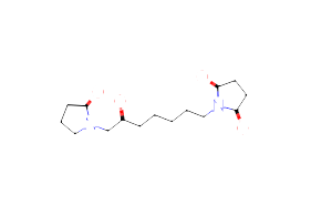 O=C(CCCCCN1C(=O)CCC1=O)CN1CCCC1=O